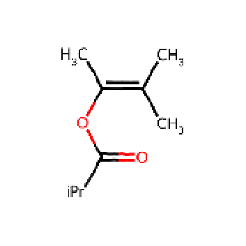 CC(C)=C(C)OC(=O)C(C)C